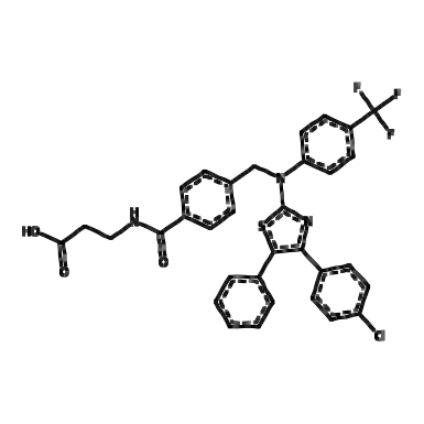 O=C(O)CCNC(=O)c1ccc(CN(c2ccc(C(F)(F)F)cc2)c2nc(-c3ccc(Cl)cc3)c(-c3ccccc3)s2)cc1